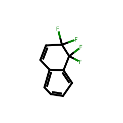 FC1(F)C=Cc2ccccc2C1(F)F